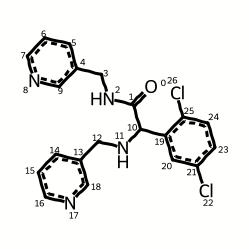 O=C(NCc1cccnc1)C(NCc1cccnc1)c1cc(Cl)ccc1Cl